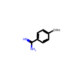 COc1ccc(C(=N)N)cc1